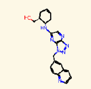 OC[C@H]1CC=CC[C@@H]1Nc1cnc2nnn(Cc3ccc4ncccc4c3)c2n1